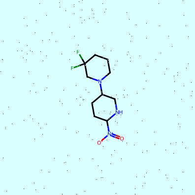 O=[N+]([O-])C1CCC(N2CC[CH]C(F)(F)C2)CN1